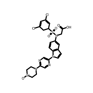 O=C(O)CN(c1ccc2c(ccn2-c2cnc(N3CC[S+]([O-])CC3)cn2)c1)S(=O)(=O)C1C=C(Cl)C=C(Cl)C1